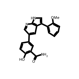 COc1ccccc1-c1c[nH]c2ncc(-c3ccc(O)c(C(N)=O)c3)cc12